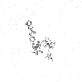 CC(C)(CC[C@@H]1Cc2cc(OC(=O)N3Cc4cccnc4C3)ccc2[C@H]2CC[C@]3(C)C(=O)C(F)C[C@H]3[C@H]12)CC(C)(C)[S+]([O-])CCCC(F)(F)C(F)(F)F